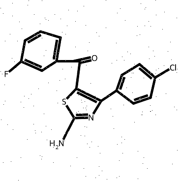 Nc1nc(-c2ccc(Cl)cc2)c(C(=O)c2cccc(F)c2)s1